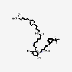 O=C(CCC/C=C\C[C@@H]1[C@@H](/C=C/[C@@H](O)COc2cccc(C(F)(F)F)c2)[C@H](O)C[C@@H]1O)NCCCN1CCN(CCCON(O)O)CC1